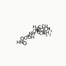 Cc1c(C)c(C)c(S(=O)(=O)N2CCC(CNC[C@H](O)COc3cccc4[nH]c5ccccc5c34)CC2)c(C)c1C